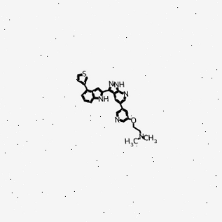 CN(C)CCOc1cncc(-c2cnc3[nH]nc(-c4cc5c(-c6ccsc6)cccc5[nH]4)c3c2)c1